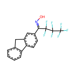 ON=C(c1ccc2c(c1)Cc1ccccc1-2)C(F)(F)C(F)(F)C(F)(F)F